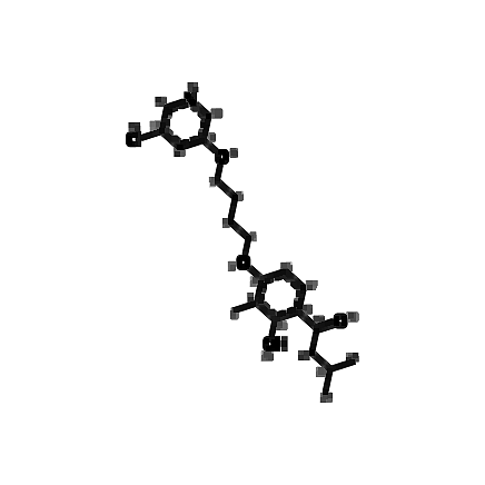 Cc1c(OCCCCOc2cncc(Cl)c2)ccc(C(=O)CC(C)C)c1O